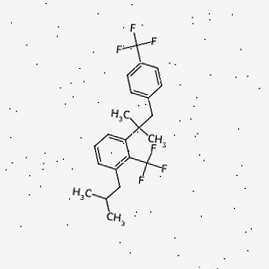 CC(C)Cc1cccc(C(C)(C)Cc2ccc(C(F)(F)F)cc2)c1C(F)(F)F